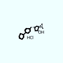 CN(C)[C@H]1C[C@@H](Cc2ccc(-c3ccccc3)cc2)C[C@@H]1O.Cl